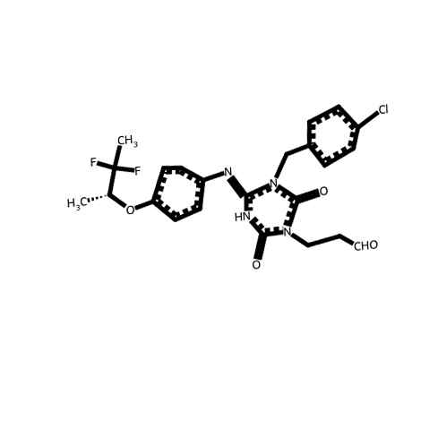 C[C@@H](Oc1ccc(/N=c2\[nH]c(=O)n(CCC=O)c(=O)n2Cc2ccc(Cl)cc2)cc1)C(C)(F)F